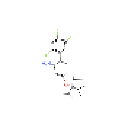 CC(C)[Si](OC1=CC(N)C(c2cc(F)c(F)cc2F)CC1)(C(C)C)C(C)C